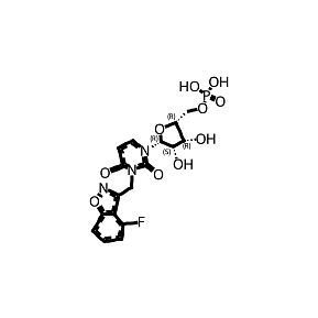 O=c1ccn([C@@H]2O[C@H](COP(=O)(O)O)[C@H](O)[C@@H]2O)c(=O)n1Cc1noc2cccc(F)c12